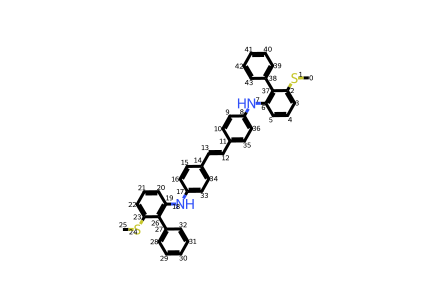 CSc1cccc(Nc2ccc(/C=C/c3ccc(Nc4cccc(SC)c4-c4ccccc4)cc3)cc2)c1-c1ccccc1